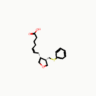 O=C(O)CCC/C=C\C[C@H]1COC[C@H]1CSc1ccccc1